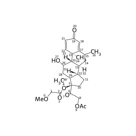 COCC(=O)O[C@]1(C(=O)COC(C)=O)CC[C@H]2[C@@H]3CC(C)C4=CC(=O)C=C[C@]4(C)[C@H]3C(O)C[C@@]21C